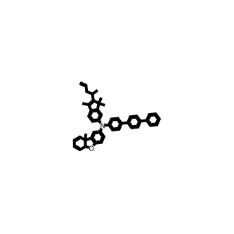 C=CCC(C)C1=C(C)c2ccc(N(c3ccc(-c4ccc(-c5ccccc5)cc4)cc3)c3ccc4c(c3)C3(C)C=CC=CC3O4)cc2C1(C)C